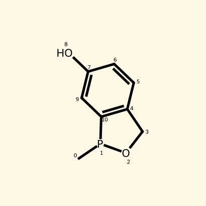 CP1OCc2ccc(O)cc21